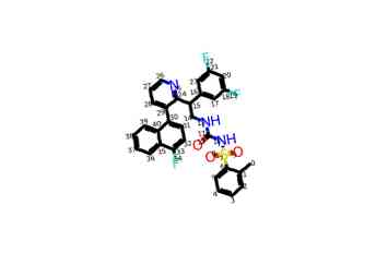 Cc1ccccc1S(=O)(=O)NC(=O)NCC(c1cc(F)cc(F)c1)c1ncccc1-c1ccc(F)c2ccccc12